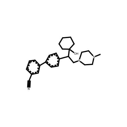 CN1CCN(CC(c2ccc(-c3cccc(C#N)c3)cc2)C2(O)CCCCC2)CC1